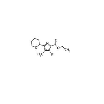 CCOC(=O)c1nn(C2CCCCO2)c(C)c1Br